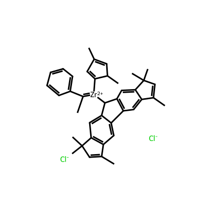 CC1=CC(C)[C](/[Zr+2](=[C](/C)c2ccccc2)[CH]2c3cc4c(cc3-c3cc5c(cc32)C(C)(C)C=C5C)C(C)=CC4(C)C)=C1.[Cl-].[Cl-]